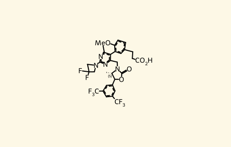 COc1ccc(CCC(=O)O)cc1-c1c(C)nc(N2CC(F)(F)C2)nc1CN1C(=O)OC(c2cc(C(F)(F)F)cc(C(F)(F)F)c2)[C@@H]1C